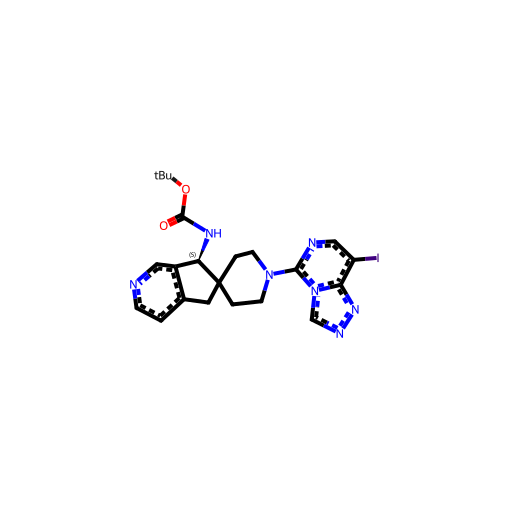 CC(C)(C)OC(=O)N[C@@H]1c2cnccc2CC12CCN(c1ncc(I)c3nncn13)CC2